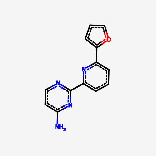 Nc1ccnc(-c2cccc(-c3ccco3)n2)n1